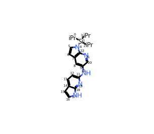 CC(C)[Si](C(C)C)(C(C)C)n1ccc2cc(Nc3ccc4cc[nH]c4n3)cnc21